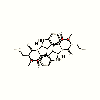 COC[C@]12SS[C@@]3(CC4([C@]56C[C@@]78SS[C@@](COC)(C(=O)N7[C@H]5Nc5ccccc56)N(C)C8=O)c5ccccc5N[C@@H]4N3C1=O)C(=O)N2C